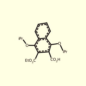 CCOC(=O)c1c(C(=O)O)c(OC(C)C)c2ccccc2c1OC(C)C